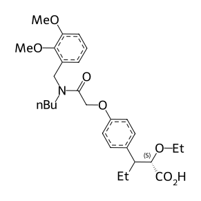 CCCCN(Cc1cccc(OC)c1OC)C(=O)COc1ccc(C(CC)[C@H](OCC)C(=O)O)cc1